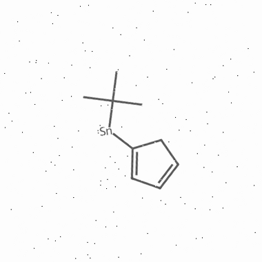 C[C](C)(C)[Sn][C]1=CC=CC1